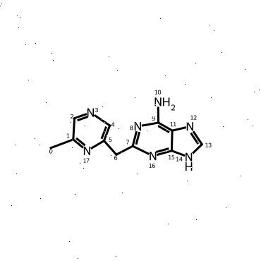 Cc1cncc(Cc2nc(N)c3nc[nH]c3n2)n1